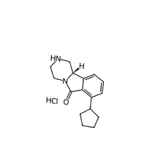 Cl.O=C1c2c(C3CCCC3)cccc2[C@H]2CNCCN12